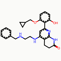 O=C1CCc2c(NCCNCc3ccccc3)cc(-c3c(O)cccc3OCC3CC3)nc2N1